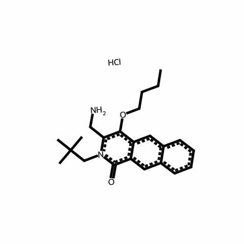 CCCCOc1c(CN)n(CC(C)(C)C)c(=O)c2cc3ccccc3cc12.Cl